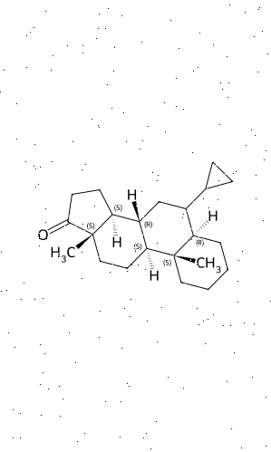 C[C@]12CCCC[C@@H]1C(C1CC1)C[C@@H]1[C@@H]2CC[C@]2(C)C(=O)CC[C@@H]12